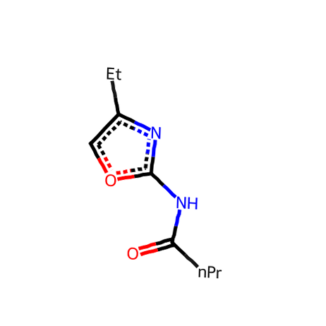 CCCC(=O)Nc1nc(CC)co1